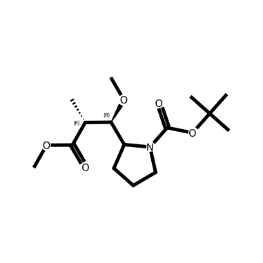 COC(=O)[C@H](C)[C@@H](OC)C1CCCN1C(=O)OC(C)(C)C